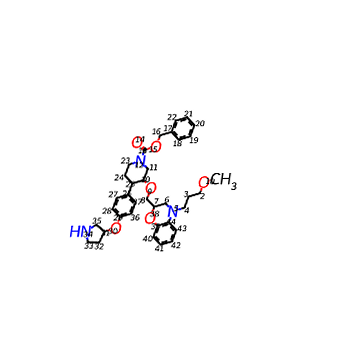 COCCCN1CC(COC2CN(C(=O)OCc3ccccc3)CCC2c2ccc(OC3CCNC3)cc2)Oc2ccccc21